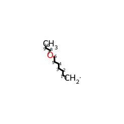 [CH2]CCCCCCOCCC